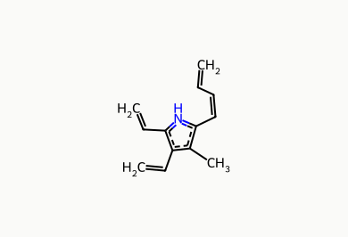 C=C/C=C\c1[nH]c(C=C)c(C=C)c1C